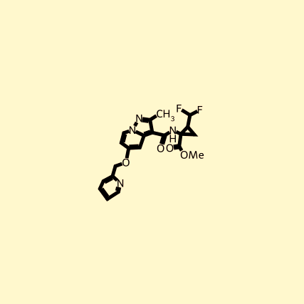 COC(=O)C1(NC(=O)c2c(C)nn3ccc(OCc4ccccn4)cc23)CC1C(F)F